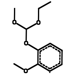 CCOC(OC)Oc1ccc[c]c1OC